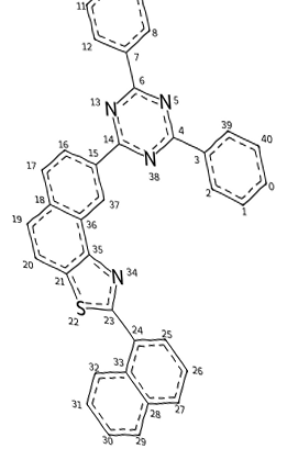 c1ccc(-c2nc(-c3ccccc3)nc(-c3ccc4ccc5sc(-c6cccc7ccccc67)nc5c4c3)n2)cc1